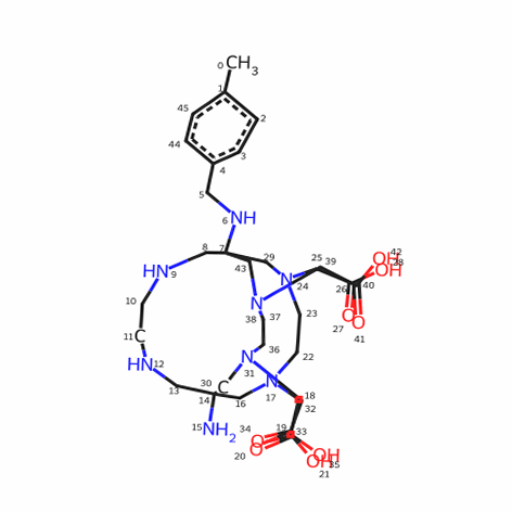 Cc1ccc(CNC23CNCCNCC(N)(CN(CC(=O)O)CCN(CC(=O)O)C2)CN(CC(=O)O)CCN(CC(=O)O)C3)cc1